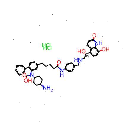 Cl.Cl.NC1CCC(N(C(=O)O)c2cc(CCCCC(=O)Nc3ccc(CNC[C@H](O)c4ccc(O)c5[nH]c(=O)ccc45)cc3)ccc2-c2ccccc2)CC1